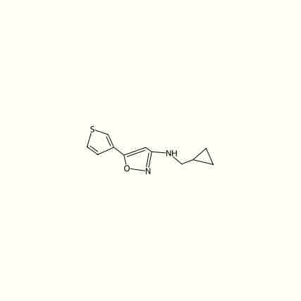 c1cc(-c2cc(NCC3CC3)no2)cs1